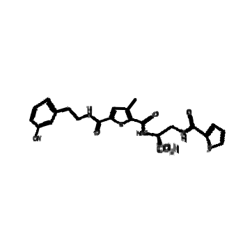 Cc1cc(C(=O)NCCc2cccc(O)c2)sc1C(=O)N[C@@H](CNC(=O)c1cccs1)C(=O)O